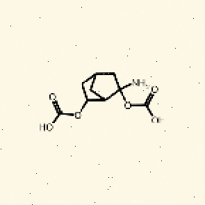 NC1(OC(=O)O)CC2CC(OC(=O)O)C1C2